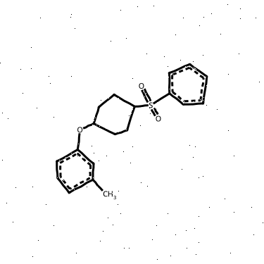 Cc1cccc(OC2CCC(S(=O)(=O)c3ccccc3)CC2)c1